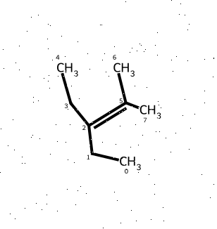 CCC(CC)=C(C)C